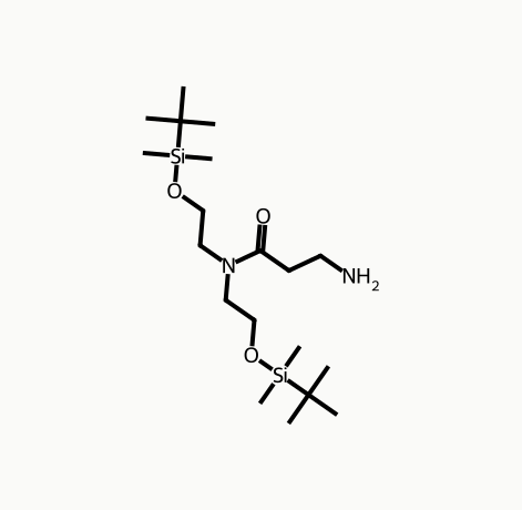 CC(C)(C)[Si](C)(C)OCCN(CCO[Si](C)(C)C(C)(C)C)C(=O)CCN